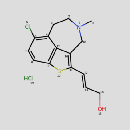 CN1CCc2c(Cl)ccc3sc(/C=C/CO)c(c23)C1.Cl